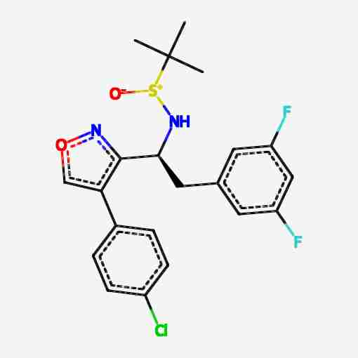 CC(C)(C)[S+]([O-])N[C@@H](Cc1cc(F)cc(F)c1)c1nocc1-c1ccc(Cl)cc1